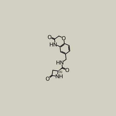 O=C1COc2ccc(CNC(=O)[C@@H]3CC(=O)N3)cc2N1